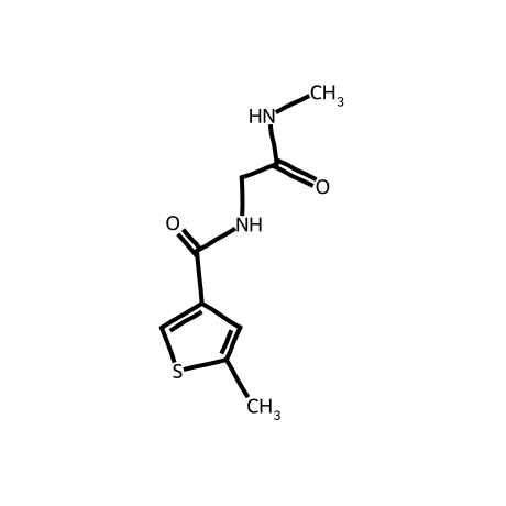 CNC(=O)CNC(=O)c1csc(C)c1